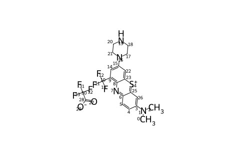 CN(C)c1ccc2nc3c(C(F)(F)F)cc(N4CCNCC4)cc3[s+]c2c1.O=C([O-])C(F)(F)F